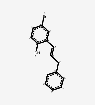 Oc1ccc(Br)cc1C=CCc1ccccc1